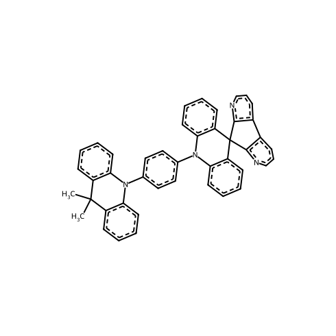 CC1(C)c2ccccc2N(c2ccc(N3c4ccccc4C4(c5ccccc53)c3ncccc3-c3cccnc34)cc2)c2ccccc21